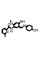 COC1=CC(=N)/C(=C\NC2CCC(O)CC2)C=C1NC(=O)c1cccc(C)n1